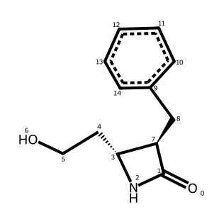 O=C1N[C@H](CCO)[C@H]1Cc1ccccc1